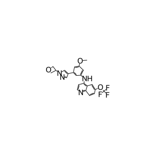 COc1cc(Nc2ccnc3ccc(OC(F)(F)F)cc23)cc(-c2cnn(C3COC3)c2)c1